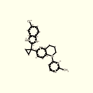 Cc1nccc(N2CCCc3nc(C4(c5nc6ccc(Cl)cc6[nH]5)CC4)ccc32)n1